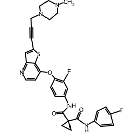 CN1CCN(CC#Cc2cc3nccc(Oc4ccc(NC(=O)C5(C(=O)Nc6ccc(F)cc6)CC5)cc4F)c3s2)CC1